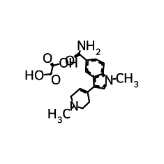 CN1CC=C(c2cn(C)c3ccc(C(N)=O)cc23)CC1.O=C(O)C(=O)O